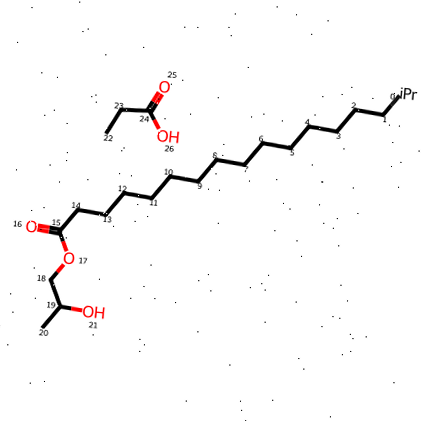 CC(C)CCCCCCCCCCCCCCC(=O)OCC(C)O.CCC(=O)O